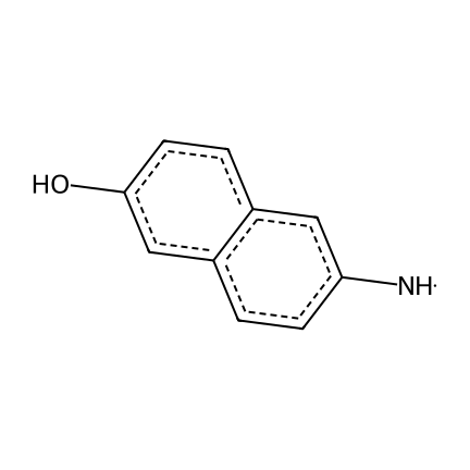 [NH]c1ccc2cc(O)ccc2c1